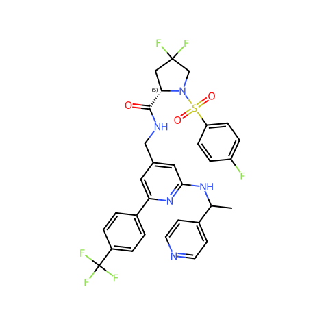 CC(Nc1cc(CNC(=O)[C@@H]2CC(F)(F)CN2S(=O)(=O)c2ccc(F)cc2)cc(-c2ccc(C(F)(F)F)cc2)n1)c1ccncc1